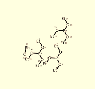 CCOP(OCC)OCC.CCOP(OCC)OCC.CCOP(OCC)OCC.[Cl][Rh]